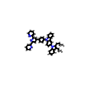 C=Cc1c(/C=C\C)n(-c2ccc3c(c2)c2ccccc2n3-c2ccc(-c3cc(-c4ccccn4)nc(-c4ccccn4)c3)cc2)c2ccccc12